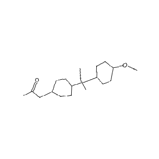 COC1CCC(C(C)(C)C2CCC(CC(C)=O)CC2)CC1